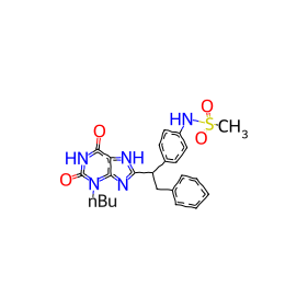 CCCCn1c(=O)[nH]c(=O)c2[nH]c(C(Cc3ccccc3)c3ccc(NS(C)(=O)=O)cc3)nc21